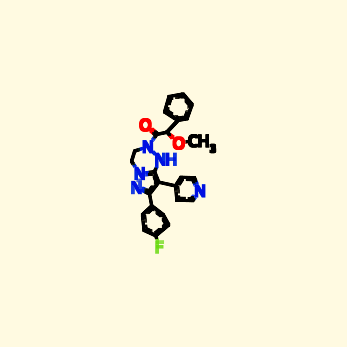 CO[C@@H](C(=O)N1CCn2nc(-c3ccc(F)cc3)c(-c3ccncc3)c2N1)c1ccccc1